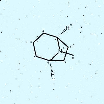 CN1[C@H]2CC[CH][C@@H]1CC2